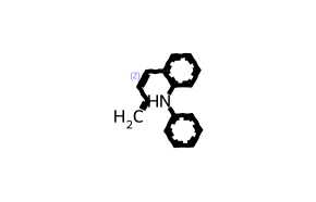 C=C/C=C\c1ccccc1Nc1ccccc1